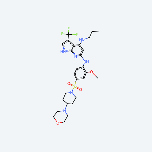 CCCNc1cc(Nc2ccc(S(=O)(=O)N3CCC(N4CCOCC4)CC3)cc2OC)nc2[nH]cc(C(F)(F)F)c12